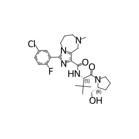 CN1CCCn2c(-c3cc(Cl)ccc3F)nc(C(=O)N[C@H](C(=O)N3CCC[C@@H]3CO)C(C)(C)C)c2C1